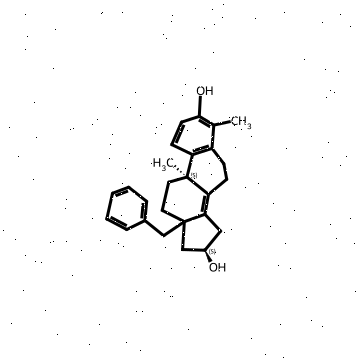 Cc1c(O)ccc2c1CCC1=C3C[C@@H](O)CC3(Cc3ccccc3)CC[C@]12C